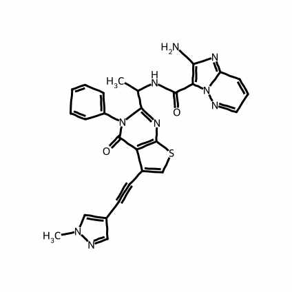 CC(NC(=O)c1c(N)nc2cccnn12)c1nc2scc(C#Cc3cnn(C)c3)c2c(=O)n1-c1ccccc1